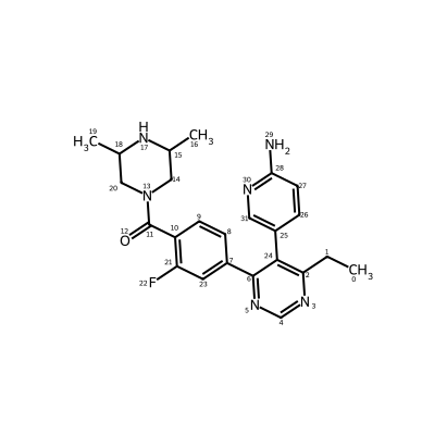 CCc1ncnc(-c2ccc(C(=O)N3CC(C)NC(C)C3)c(F)c2)c1-c1ccc(N)nc1